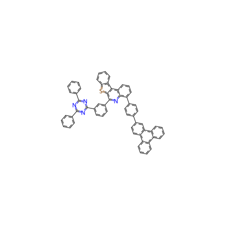 c1ccc(-c2nc(-c3ccccc3)nc(-c3cccc(-c4nc5c(-c6ccc(-c7ccc8c9ccccc9c9ccccc9c8c7)cc6)cccc5c5c4sc4ccccc45)c3)n2)cc1